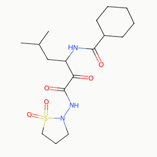 CC(C)CC(NC(=O)C1CCCCC1)C(=O)C(=O)NN1CCCS1(=O)=O